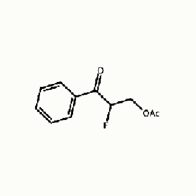 CC(=O)OCC(F)C(=O)c1ccccc1